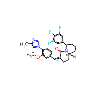 COc1cc(/C=C2/CC[C@H]3CCCC(c4cc(F)c(F)c(F)c4)N3C2=O)ccc1-n1cnc(C)c1